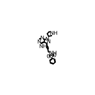 Nc1ncnc2c1c(C#CCNS(=O)(=O)c1ccccc1)nn2C1CCNC1